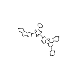 c1ccc(-c2cc(-c3ccccc3)c3oc4cc(-c5nc(-c6ccccc6)nc(-c6ccc7oc8ccccc8c7c6)n5)ccc4c3c2)cc1